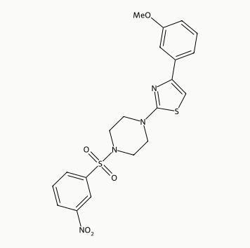 COc1cccc(-c2csc(N3CCN(S(=O)(=O)c4cccc([N+](=O)[O-])c4)CC3)n2)c1